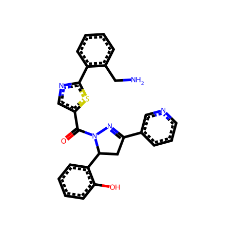 NCc1ccccc1-c1ncc(C(=O)N2N=C(c3cccnc3)CC2c2ccccc2O)s1